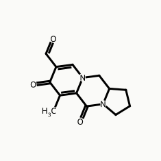 Cc1c2n(cc(C=O)c1=O)CC1CCCN1C2=O